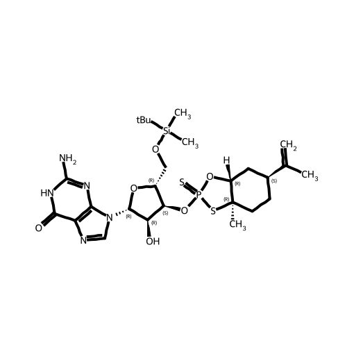 C=C(C)[C@H]1CC[C@@]2(C)SP(=S)(O[C@H]3[C@@H](O)[C@H](n4cnc5c(=O)[nH]c(N)nc54)O[C@@H]3CO[Si](C)(C)C(C)(C)C)O[C@@H]2C1